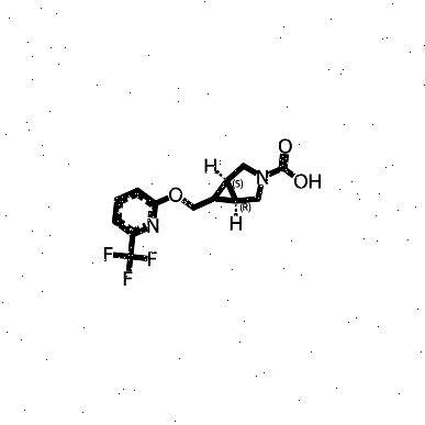 O=C(O)N1C[C@@H]2C(COc3cccc(C(F)(F)F)n3)[C@@H]2C1